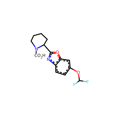 O=C(O)N1CCCCC1c1nc2ccc(OC(F)F)cc2o1